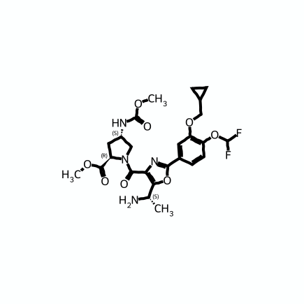 COC(=O)N[C@H]1C[C@H](C(=O)OC)N(C(=O)c2nc(-c3ccc(OC(F)F)c(OCC4CC4)c3)oc2[C@H](C)N)C1